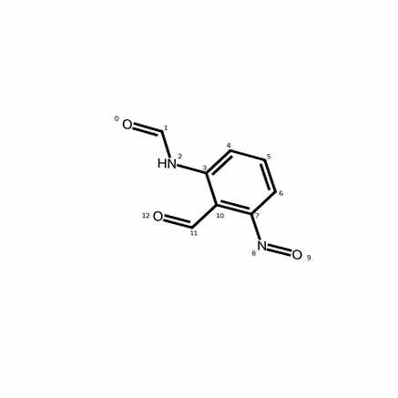 O=CNc1cccc(N=O)c1C=O